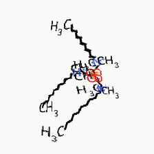 CCCCCCCCCCCC[N+](C)(C)CCOP(=O)(OCC[N+](C)(C)CCCCCCCCCCCC)OCC[N+](C)(C)CCCCCCCCCCCC